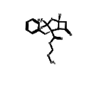 COCOC(=O)[C@]1(Cc2ccccc2)N2C(=O)C[C@H]2SC1(C)C